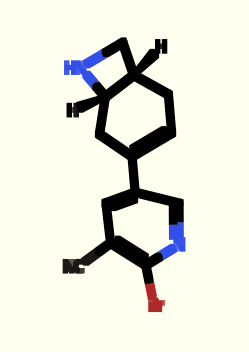 N#Cc1cc(C2=CC[C@H]3CN[C@H]3C2)cnc1Br